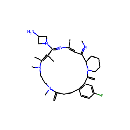 C=C1CCc2ccc(F)cc2C(=C)N2CCCCC2C(=N/C)/C=C(C)/N=C(N2CC(N)C2)\C(C)=C(/C)N(C)CCN1C